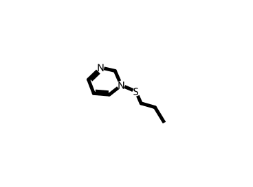 CCCSN1C=CC=NC1